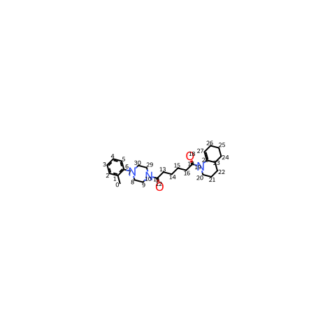 Cc1ccccc1N1CCN(C(=O)CCCCC(=O)N2CCCC3CCCC=C32)CC1